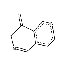 O=C1CN=Cc2ccncc21